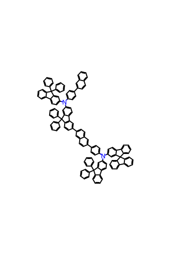 c1ccc(C2(c3ccccc3)c3ccccc3-c3ccc(N(c4ccc(-c5ccc6ccccc6c5)cc4)c4ccc5c(c4)C(c4ccccc4)(c4ccccc4)c4ccc(-c6ccc7cc(-c8ccc(N(c9ccc%10c(c9)C(c9ccccc9)(c9ccccc9)c9ccccc9-%10)c9ccc%10c(c9)C9(c%11ccccc%11-c%11ccccc%119)c9ccccc9-%10)cc8)ccc7c6)cc4-5)cc32)cc1